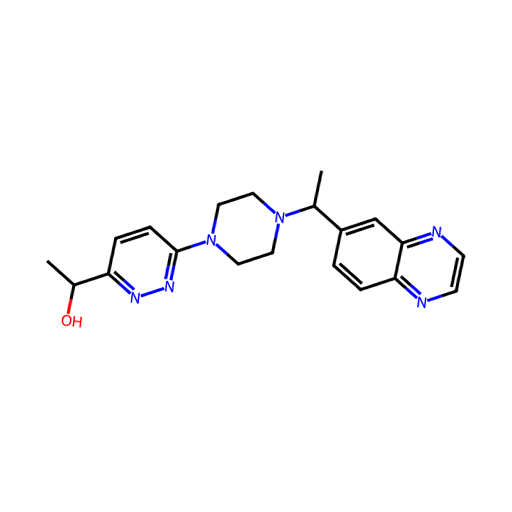 CC(O)c1ccc(N2CCN(C(C)c3ccc4nccnc4c3)CC2)nn1